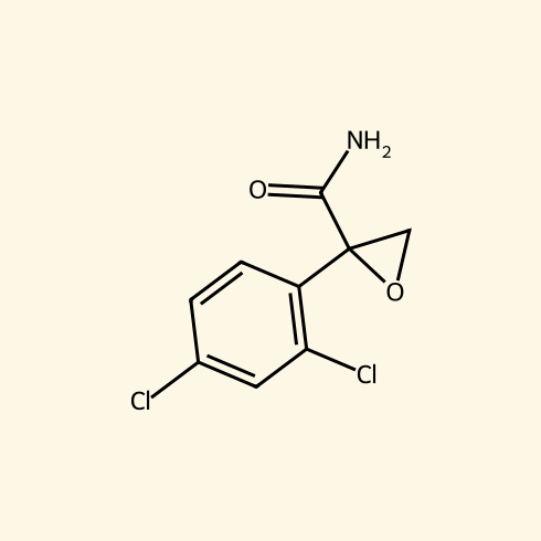 NC(=O)C1(c2ccc(Cl)cc2Cl)CO1